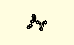 c1ccc(-c2nc(-c3ccccc3)nc(-c3ccc(-c4c5cc(-c6ccc7ccccc7c6)ccc5n5c4oc4ccccc45)cc3)n2)cc1